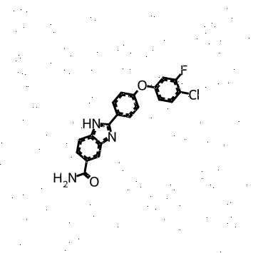 NC(=O)c1ccc2[nH]c(-c3ccc(Oc4ccc(Cl)c(F)c4)cc3)nc2c1